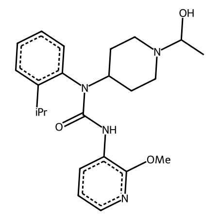 COc1ncccc1NC(=O)N(c1ccccc1C(C)C)C1CCN(C(C)O)CC1